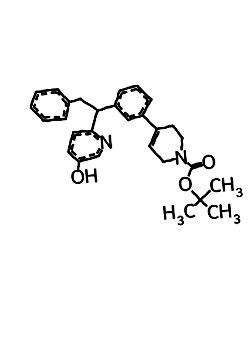 CC(C)(C)OC(=O)N1CC=C(c2cccc(C(Cc3ccccc3)c3ccc(O)cn3)c2)CC1